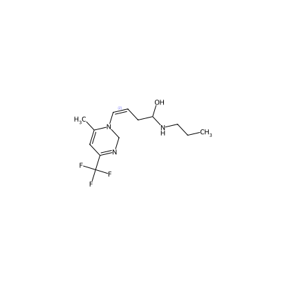 CCCNC(O)C/C=C\N1CN=C(C(F)(F)F)C=C1C